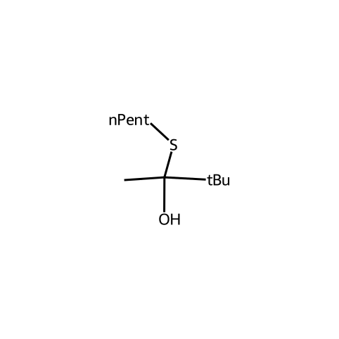 CCCCCSC(C)(O)C(C)(C)C